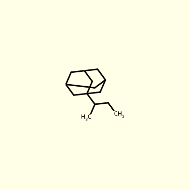 CC[C](C)C12CC3CC(CC(C3)C1)C2